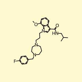 COc1cccc2c(C(=O)NCC(C)C)cn(CCCN3CCCN(Cc4ccc(F)cc4)CC3)c12